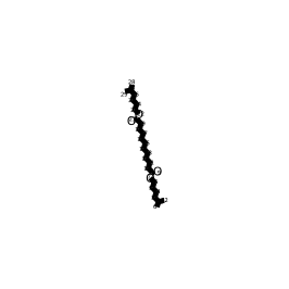 CC(C)CCCCOC(=O)CCCCCCCCCCC(=O)OCCCCC(C)C